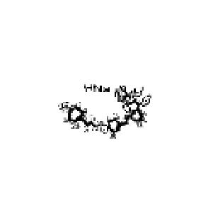 O=c1cc(-c2nnn[nH]2)oc2c(/C=C/c3ccc(OCCCCc4ccc(F)cc4)cc3)cccc12.[NaH]